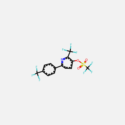 O=S(=O)(Oc1ccc(-c2ccc(C(F)(F)F)cc2)nc1C(F)(F)F)C(F)(F)F